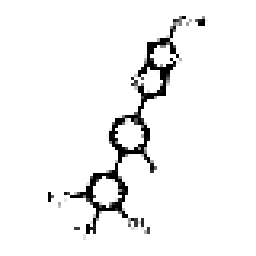 CCCCCc1cc2sc(-c3ccc(-c4cc(C)c(N)c(C)c4)c(F)c3)cc2s1